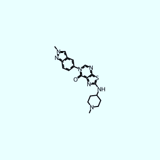 CN1CCC(Nc2nc3c(=O)n(-c4ccc5nn(C)cc5c4)cnc3s2)CC1